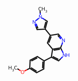 COc1ccc(-c2c[nH]c3ncc(-c4cnn(C)c4)cc23)cc1